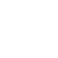 C#C[C@H](CCC)C(=O)C(C)=O